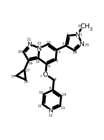 Cn1cc(-c2cc(OCc3ccncc3)c3c(C4CC4)cnn3c2)cn1